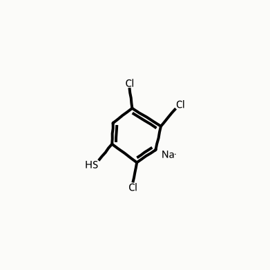 Sc1cc(Cl)c(Cl)cc1Cl.[Na]